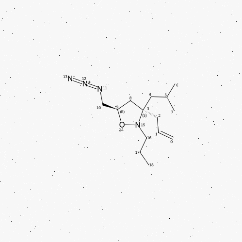 C=CC[C@@]1(CC(C)C)C[C@H](CN=[N+]=[N-])ON1CCC